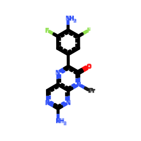 CC(C)n1c(=O)c(-c2cc(F)c(N)c(F)c2)nc2cnc(N)nc21